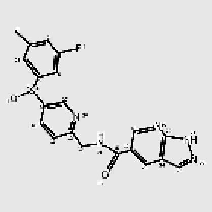 Cc1cc(F)cc([S+]([O-])c2ccc(CNC(=O)c3cnc4[nH]ncc4c3)nc2)c1